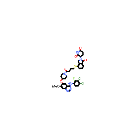 COc1cc2ncnc(Nc3ccc(Cl)c(Cl)c3F)c2cc1OC1CCN(C(=O)CCCSc2cccc3c2CN(C2CCC(=O)NC2=O)C3=O)CC1